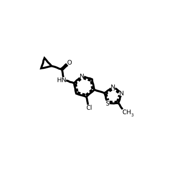 Cc1nnc(-c2cnc(NC(=O)C3CC3)cc2Cl)s1